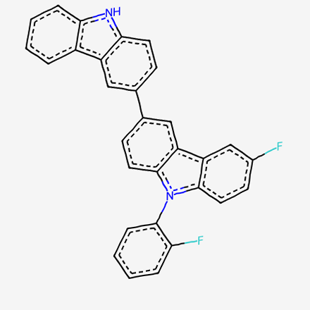 Fc1ccc2c(c1)c1cc(-c3ccc4[nH]c5ccccc5c4c3)ccc1n2-c1ccccc1F